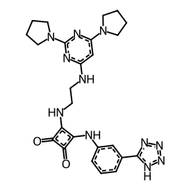 O=c1c(NCCNc2cc(N3CCCC3)nc(N3CCCC3)n2)c(Nc2cccc(-c3nnn[nH]3)c2)c1=O